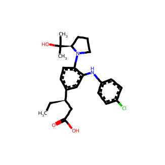 CC[C@H](CC(=O)O)c1ccc(N2CCC[C@@H]2C(C)(C)O)c(Nc2ccc(Cl)cc2)c1